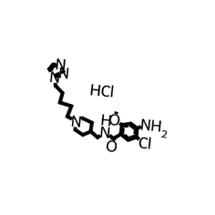 COc1cc(N)c(Cl)cc1C(=O)NCC1CCN(CCCCCn2ccnn2)CC1.Cl